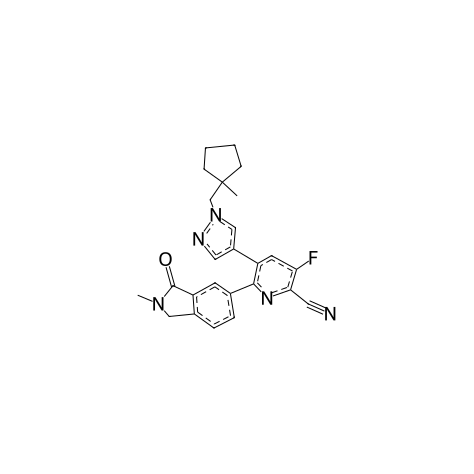 CN1Cc2ccc(-c3nc(C#N)c(F)cc3-c3cnn(CC4(C)CCCC4)c3)cc2C1=O